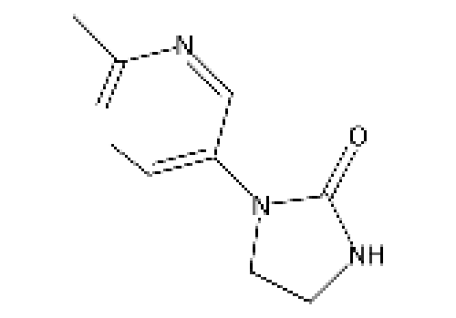 C=C(C)/N=C\C(=C/C)N1CCNC1=O